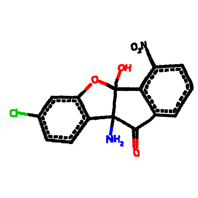 NC12C(=O)c3cccc([N+](=O)[O-])c3C1(O)Oc1cc(Cl)ccc12